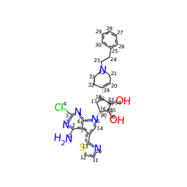 Nc1nc(Cl)nc2c1c(-c1nccs1)cn2[C@@H]1C[C@H](C2=CCN(CCc3ccccc3)CC2)[C@@H](O)[C@H]1O